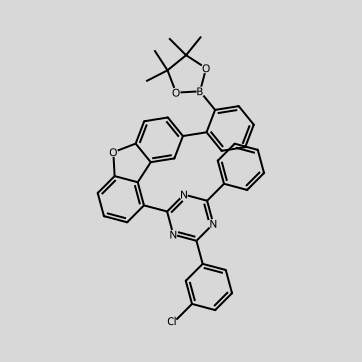 CC1(C)OB(c2ccccc2-c2ccc3oc4cccc(-c5nc(-c6ccccc6)nc(-c6cccc(Cl)c6)n5)c4c3c2)OC1(C)C